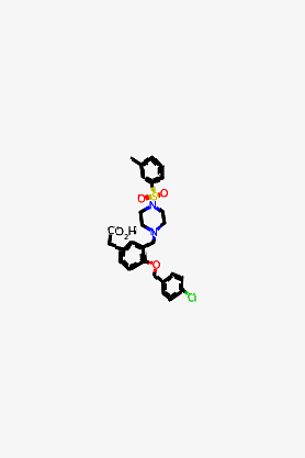 Cc1cccc(S(=O)(=O)N2CCN(Cc3cc(CC(=O)O)ccc3OCc3ccc(Cl)cc3)CC2)c1